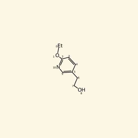 CCOc1ccc(CCO)cn1